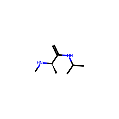 C=C(NC(C)C)[C@@H](C)NC